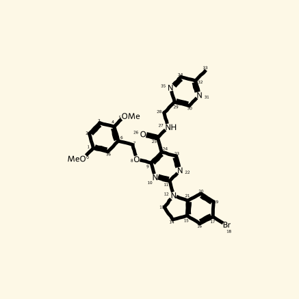 COc1ccc(OC)c(COc2nc(N3CCc4cc(Br)ccc43)ncc2C(=O)NCc2cnc(C)cn2)c1